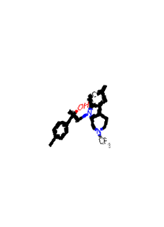 Cc1ccc(C(C)(O)Cn2c3c(c4cc(C)ccc42)CCN(C(F)(F)F)C3)cc1